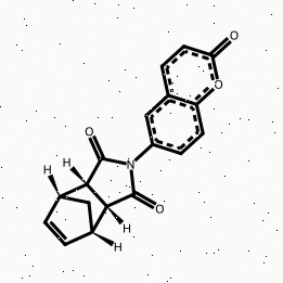 O=C1[C@@H]2[C@H](C(=O)N1c1ccc3oc(=O)ccc3c1)[C@@H]1C=C[C@H]2C1